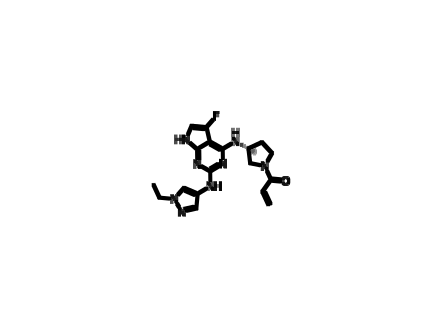 C=CC(=O)N1CC[C@@H](Nc2nc(Nc3cnn(CC)c3)nc3[nH]cc(F)c23)C1